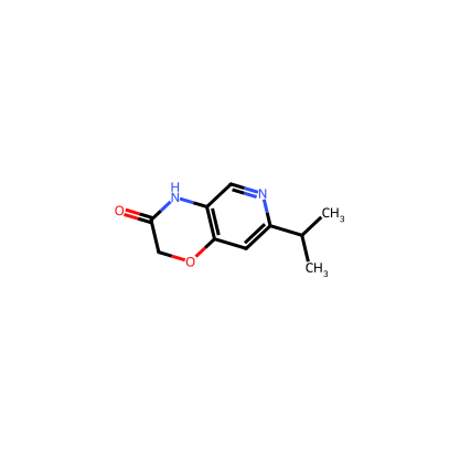 CC(C)c1cc2c(cn1)NC(=O)CO2